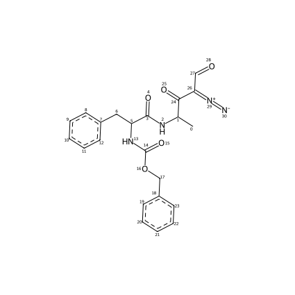 CC(NC(=O)C(Cc1ccccc1)NC(=O)OCc1ccccc1)C(=O)C(C=O)=[N+]=[N-]